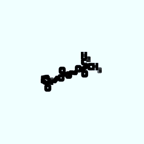 C=C(C)C(=O)OCCOC(=O)OCCN1CCCC1=O